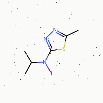 Cc1nnc(N(I)C(C)C)s1